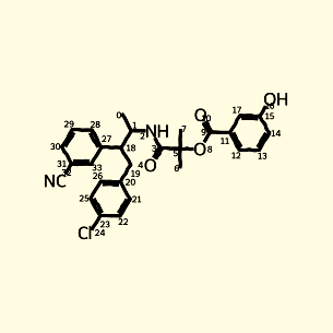 CC(NC(=O)C(C)(C)OC(=O)c1cccc(O)c1)C(Cc1ccc(Cl)cc1)c1cccc(C#N)c1